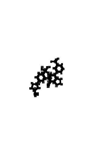 CN(C)c1cccc(-c2nn(-c3cc(N4CC[C@H](O)C4)ccc3C(F)(F)F)c(=O)c3c2CCC3)c1